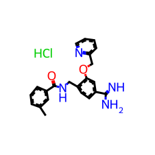 Cc1cccc(C(=O)NCc2ccc(C(=N)N)cc2OCc2ccccn2)c1.Cl